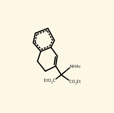 CCOC(=O)C(NC(C)=O)(C(=O)OCC)C1=Cc2ccccc2CC1